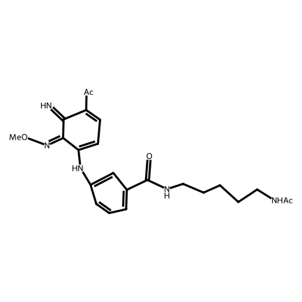 CO/N=C1\C(=N)C(C(C)=O)=CC=C1Nc1cccc(C(=O)NCCCCCNC(C)=O)c1